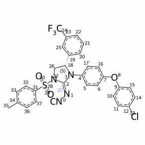 [C-]#[N+]/N=C1/N(c2ccc(Oc3ccc(Cl)cc3)cc2)[C@@H](c2cccc(C(F)(F)F)c2)CN1S(=O)(=O)c1ccc(C)cc1